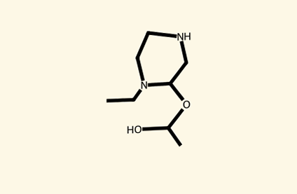 CCN1CCNCC1OC(C)O